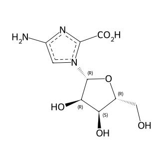 Nc1cn([C@@H]2O[C@H](CO)[C@@H](O)[C@H]2O)c(C(=O)O)n1